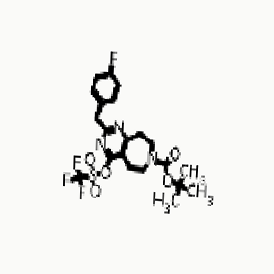 CC(C)(C)OC(=O)N1CCc2nc(Cc3ccc(F)cc3)nc(OS(=O)(=O)C(F)(F)F)c2CC1